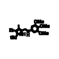 CCc1c(C(C)(C)C)[nH]c(CNc2cc(OC)c(OC)c(OC)c2)c1C